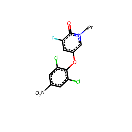 CC(C)n1cc(Oc2c(Cl)cc([N+](=O)[O-])cc2Cl)cc(F)c1=O